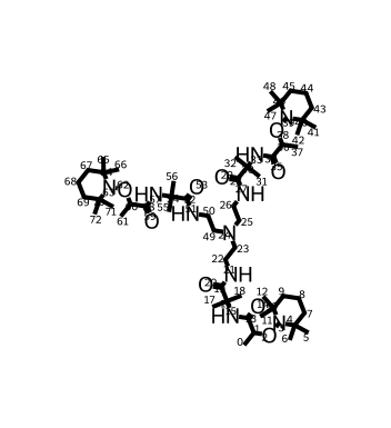 CC(ON1C(C)(C)CCCC1(C)C)C(=O)NC(C)(C)C(=O)NCCN(CCNC(=O)C(C)(C)NC(=O)C(C)ON1C(C)(C)CCCC1(C)C)CCNC(=O)C(C)(C)NC(=O)C(C)ON1C(C)(C)CCCC1(C)C